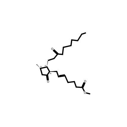 CCCCCCCC(=O)CC[C@H]1[C@@H](C)CC(=O)[C@@H]1CC=CCCCC(=O)OC